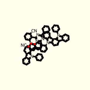 N#Cc1ccc(-c2cccc(-n3c4ccccc4c4c3ccc3c5ccccc5n(-c5ccccc5)c34)c2-c2nc(-c3ccccc3)nc(-c3c(C#N)cccc3-n3c4ccccc4c4c3ccc3c5ccccc5n(-c5ccccc5)c34)n2)cc1